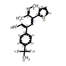 CCC/C=C(/C=C(\C(C)=N/C)c1ccco1)c1ccc(C(C)(F)F)cc1